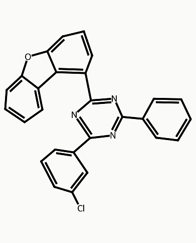 Clc1cccc(-c2nc(-c3ccccc3)nc(-c3cccc4oc5ccccc5c34)n2)c1